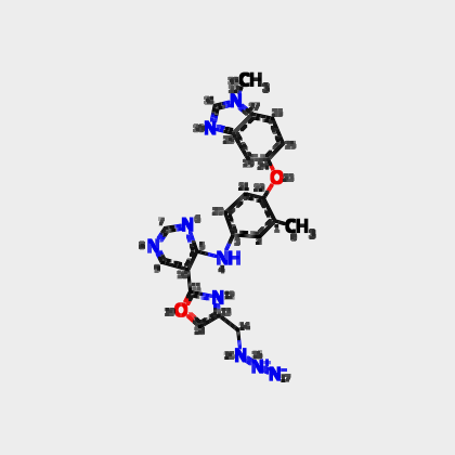 Cc1cc(Nc2ncncc2-c2nc(CN=[N+]=[N-])co2)ccc1Oc1ccc2c(c1)ncn2C